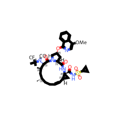 COc1cnc(O[C@@H]2C[C@H]3C(=O)N[C@]4(C(=O)NS(=O)(=O)C5CC5)C[C@H]4C=CCC[C@H](C)C[C@@H](C)[C@H](N(C(=O)O)C(C)(C)C(F)(F)F)C(=O)N3C2)c2ccccc12